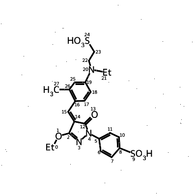 CCOC1=NN(c2ccc(S(=O)(=O)O)cc2)C(=O)/C1=C\c1ccc(N(CC)CCS(=O)(=O)O)cc1C